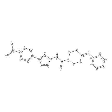 O=C(Nc1ncc(-c2ccc([N+](=O)[O-])cc2)s1)N1CCC(=Cc2ccccn2)CC1